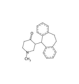 CN1CCC(=O)C(C2c3ccccc3CCc3ccccc32)C1